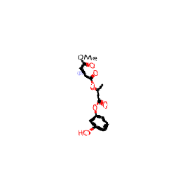 COC(=O)/C=C\C(=O)OC(C)C(=O)Oc1cccc(O)c1